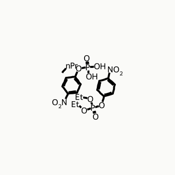 CCCC.CCOP(=O)(OCC)Oc1ccc([N+](=O)[O-])cc1.O=[N+]([O-])c1ccc(OP(=O)(O)O)cc1